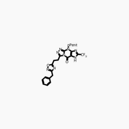 CCCCCn1c2nc(C(F)(F)F)[nH]c2c(=O)n2c(CCc3nc(Cc4ccccc4)no3)nnc12